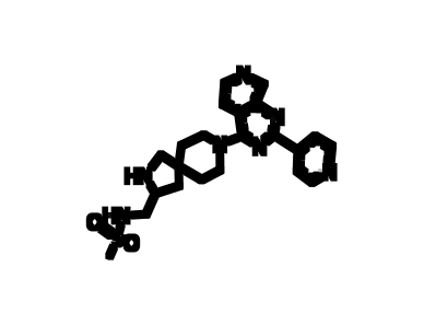 CS(=O)(=O)NCC1CC2(CCN(c3nc(-c4ccncc4)nc4cnccc34)CC2)CN1